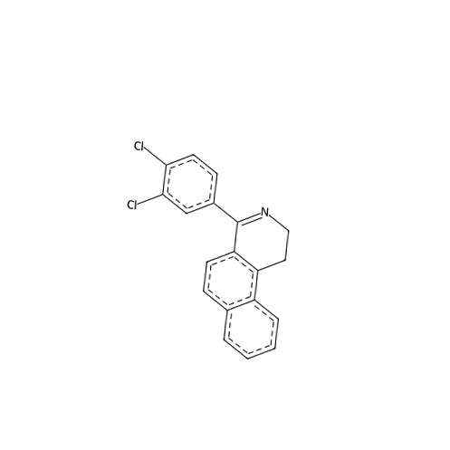 Clc1ccc(C2=NCCc3c2ccc2ccccc32)cc1Cl